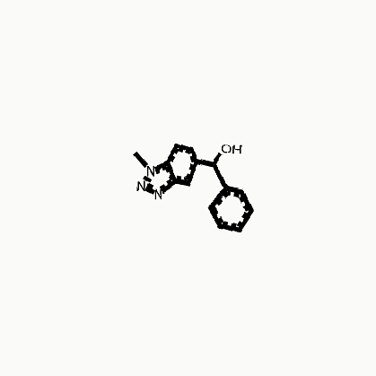 Cn1nnc2cc(C(O)c3ccccc3)ccc21